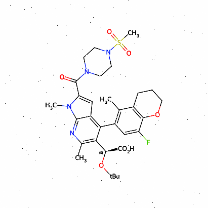 Cc1nc2c(cc(C(=O)N3CCN(S(C)(=O)=O)CC3)n2C)c(-c2cc(F)c3c(c2C)CCCO3)c1[C@H](OC(C)(C)C)C(=O)O